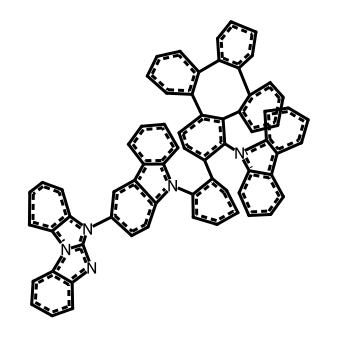 c1ccc2c(c1)-c1ccccc1-c1ccc(-c3ccccc3-n3c4ccccc4c4cc(-n5c6ccccc6n6c7ccccc7nc56)ccc43)c(-n3c4ccccc4c4ccccc43)c1-c1ccccc1-2